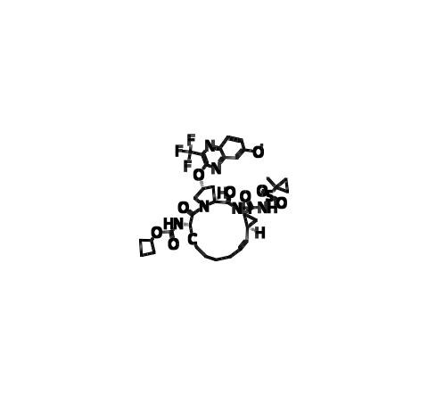 COc1ccc2nc(C(F)(F)F)c(O[C@@H]3C[C@H]4C(=O)N[C@]5(C(=O)NS(=O)(=O)C6(C)CC6)C[C@H]5/C=C\CCCCC[C@H](NC(=O)OC5CCC5)C(=O)N4C3)nc2c1